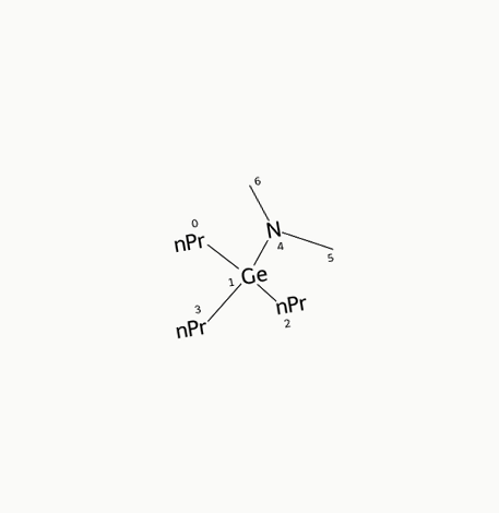 CC[CH2][Ge]([CH2]CC)([CH2]CC)[N](C)C